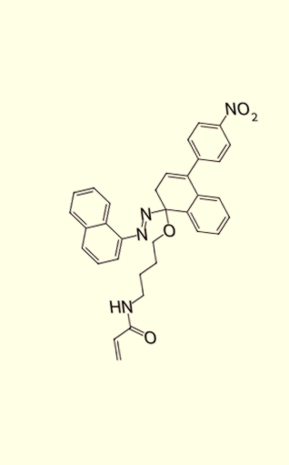 C=CC(=O)NCCCCOC1(N=Nc2cccc3ccccc23)CC=C(c2ccc([N+](=O)[O-])cc2)c2ccccc21